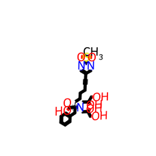 CS(=O)(=O)c1ncc(C#CCCCC[C@](Cc2ccccc2)(C(=O)O)N(CC(O)CO)CC(O)CO)cn1